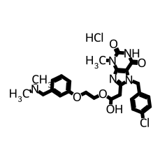 CN(C)Cc1cccc(OCCOC(O)Cc2nc3c(c(=O)[nH]c(=O)n3C)n2Cc2ccc(Cl)cc2)c1.Cl